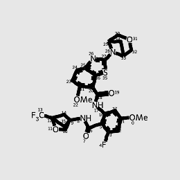 COc1cc(F)c(C(=O)NC23COC(C(F)(F)F)(C2)C3)c(NC(=O)c2c(OC)ccc3nc(N4C5COCC4C5)sc23)c1